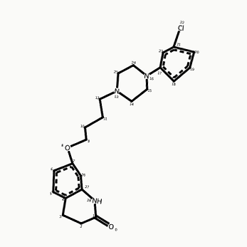 O=C1CCc2ccc(OCCCCN3CCN(c4cccc(Cl)c4)CC3)cc2N1